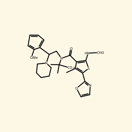 COc1ccccc1C(CN(C(=O)c1c(NC=O)sc(-c2ncco2)c1C)C(C)(C)C(=O)O)N1CCCCC1